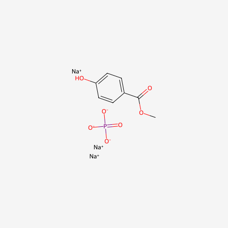 COC(=O)c1ccc(O)cc1.O=P([O-])([O-])[O-].[Na+].[Na+].[Na+]